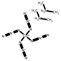 C[NH2+]C.C[NH2+]C.[N-]=[N+]=[N][Cu-2]([N]=[N+]=[N-])([N]=[N+]=[N-])[N]=[N+]=[N-]